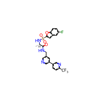 C[C@H](NS(=O)(=O)c1cc2cc(F)ccc2o1)C(=O)NCc1cncc(-c2ccc(C(F)(F)F)nc2)c1